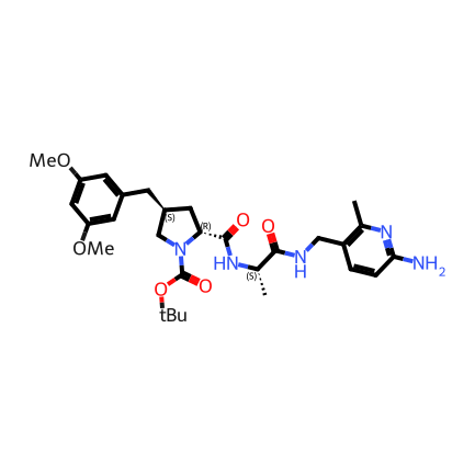 COc1cc(C[C@H]2C[C@H](C(=O)N[C@@H](C)C(=O)NCc3ccc(N)nc3C)N(C(=O)OC(C)(C)C)C2)cc(OC)c1